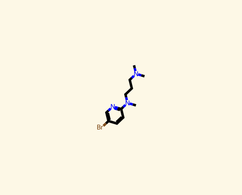 CN(C)CCCN(C)c1ccc(Br)cn1